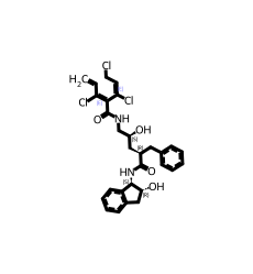 C=C/C(Cl)=C(C(=O)NC[C@@H](O)C[C@@H](Cc1ccccc1)C(=O)N[C@H]1c2ccccc2C[C@H]1O)\C(Cl)=C/CCl